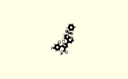 COC(=O)c1cc(-c2ccnc3c2ccn3S(=O)(=O)c2ccccc2)[nH]c1-c1ccc(F)cc1Cl